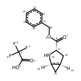 O=C(O)C(F)(F)F.O=C(OCc1ccccc1)[C@@H]1C[C@H]2C[C@H]2N1